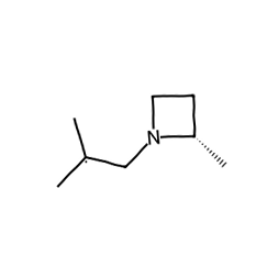 C[C](C)CN1CC[C@@H]1C